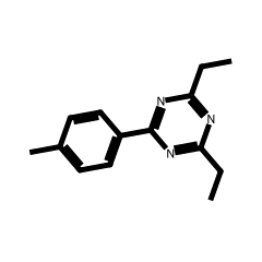 CCc1nc(CC)nc(-c2ccc(C)cc2)n1